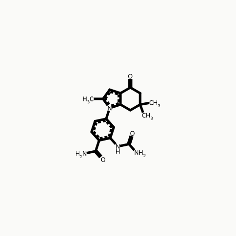 Cc1cc2c(n1-c1ccc(C(N)=O)c(NC(N)=O)c1)CC(C)(C)CC2=O